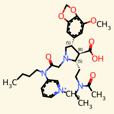 CCCCN(C(=O)CN1C[C@H](c2cc(OC)c3c(c2)OCO3)[C@@H](C(=O)O)[C@@H]1CCN(CC)C(C)=O)c1ccc[n+](C)c1